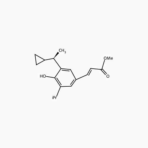 COC(=O)/C=C/c1cc(C(C)C)c(O)c([C@H](C)C2CC2)c1